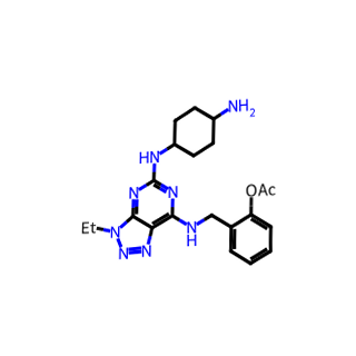 CCn1nnc2c(NCc3ccccc3OC(C)=O)nc(NC3CCC(N)CC3)nc21